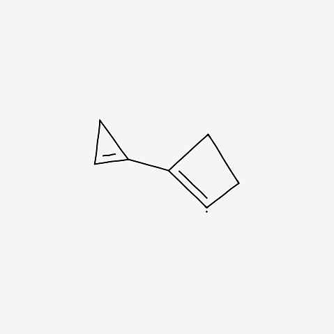 [C]1=C(C2=CC2)CC1